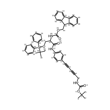 CC(C)(C)OC(=O)NCC#CC#Cc1ccc(NC(=O)C(CO[Si](c2ccccc2)(c2ccccc2)C(C)(C)C)NC(=O)OCC2c3ccccc3-c3ccccc32)cc1